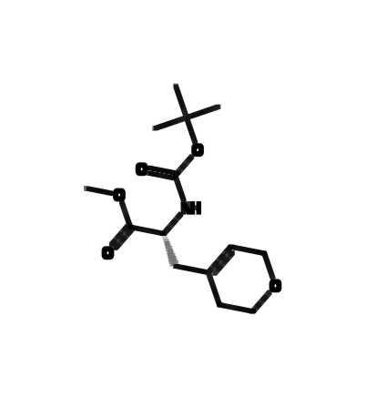 COC(=O)[C@@H](CC1=CCOCC1)NC(=O)OC(C)(C)C